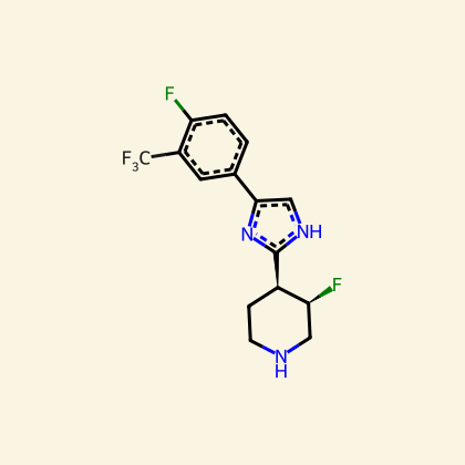 Fc1ccc(-c2c[nH]c([C@@H]3CCNC[C@@H]3F)n2)cc1C(F)(F)F